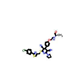 C[C@@H]([C]=O)NCCOc1ccc(-c2c(C#N)c(SCc3csc(-c4ccc(Cl)cc4)n3)nc(N3CCCC3)c2C#N)cc1